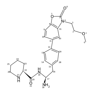 COCCn1c(=O)oc2ccc(-c3ccc(C[C@@H](N)NC(=O)[C@@H]4CCCCN4)cc3)cc21